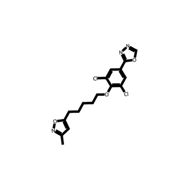 Cc1cc(CCCCCOc2c(Cl)cc(-c3nnco3)cc2Cl)on1